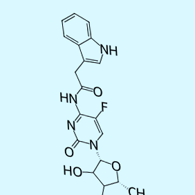 C[C@H]1O[C@@H](n2cc(F)c(NC(=O)Cc3c[nH]c4ccccc34)nc2=O)C(O)C1O